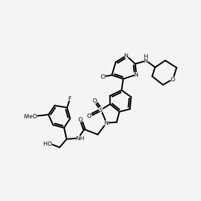 COc1cc(F)cc(C(CO)NC(=O)CN2Cc3ccc(-c4nc(NC5CCOCC5)ncc4Cl)cc3S2(=O)=O)c1